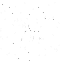 CCCCN(SCC)C(=O)C(=O)NSCC